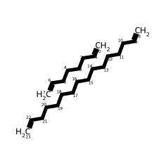 C=CCCCCC=C.C=CCCCCCCCCCCCCC=C